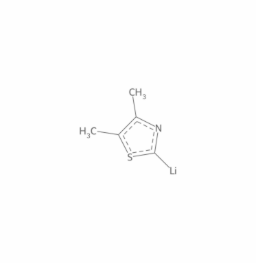 [Li][c]1nc(C)c(C)s1